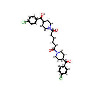 O=C(c1ccc(Cl)cc1)C1CCN(C(=O)CCCCC(=O)N2CCC(C(=O)c3ccc(Cl)cc3)CC2)CC1